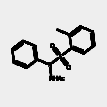 CC(=O)NN(c1ccccc1)S(=O)(=O)c1ccccc1C